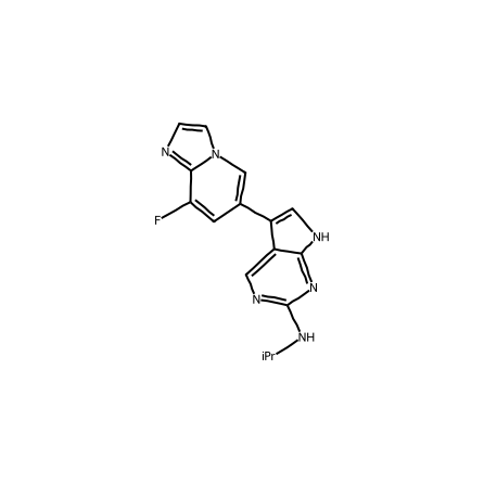 CC(C)Nc1ncc2c(-c3cc(F)c4nccn4c3)c[nH]c2n1